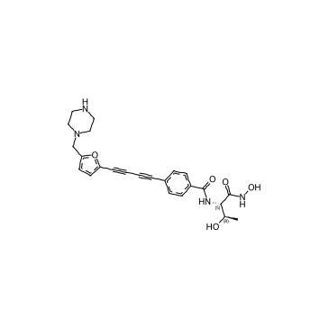 C[C@@H](O)[C@H](NC(=O)c1ccc(C#CC#Cc2ccc(CN3CCNCC3)o2)cc1)C(=O)NO